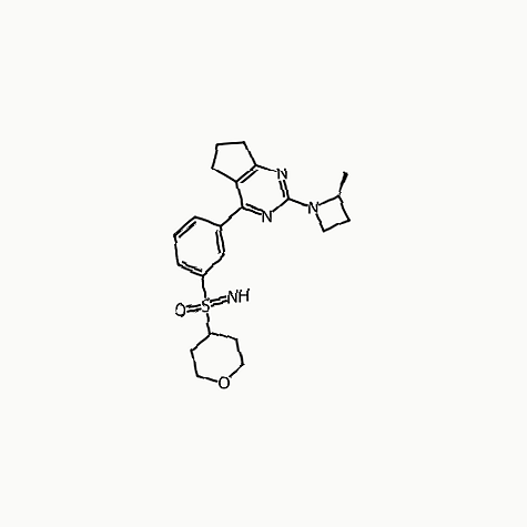 C[C@H]1CCN1c1nc2c(c(-c3cccc(S(=N)(=O)C4CCOCC4)c3)n1)CCC2